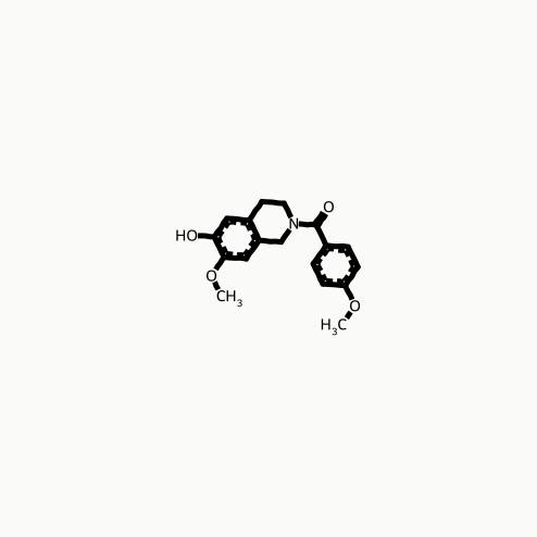 COc1ccc(C(=O)N2CCc3cc(O)c(OC)cc3C2)cc1